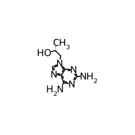 C[C@@H](O)Cn1cnc2c(N)nc(N)nc21